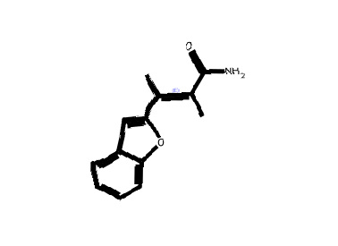 C/C(C(N)=O)=C(/C)c1cc2ccccc2o1